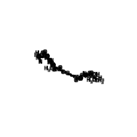 C[C@@H]1CN(c2ncc(-c3ccc4c(n3)N(Cc3cccnc3C#N)C(C)(C)C4=O)cn2)CCN1C(=O)CNC(=O)CCOCCOCCCCCNC(=O)c1cccc(Oc2ccc(C(=O)N[C@@H](CCC(C)(C)C)C(=O)O)cn2)c1